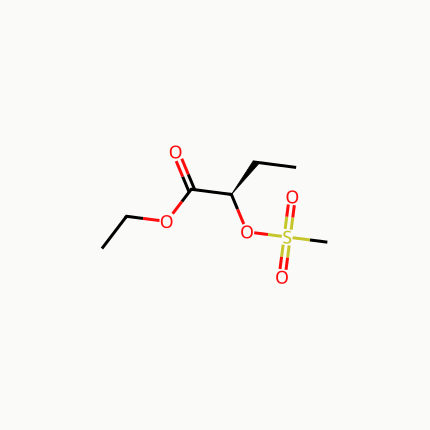 CCOC(=O)[C@@H](CC)OS(C)(=O)=O